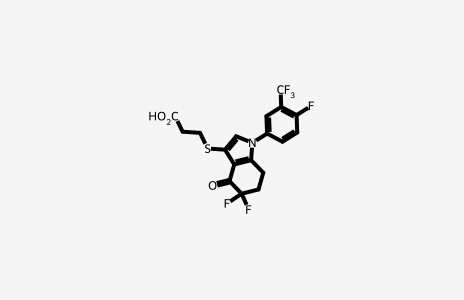 O=C(O)CCSc1cn(-c2ccc(F)c(C(F)(F)F)c2)c2c1C(=O)C(F)(F)CC2